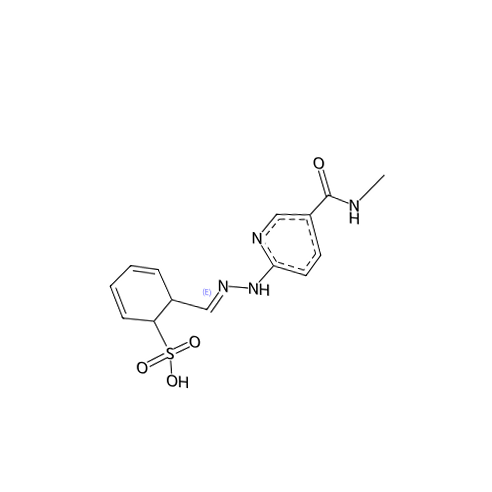 CNC(=O)c1ccc(N/N=C/C2C=CC=CC2S(=O)(=O)O)nc1